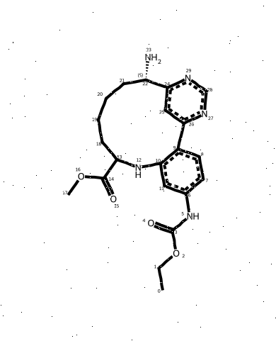 CCOC(=O)Nc1ccc2c(c1)NC(C(=O)OC)CCCC[C@H](N)c1cc-2ncn1